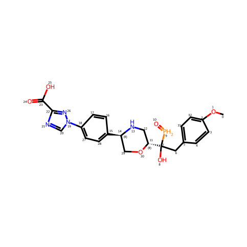 COc1ccc(CC(O)([PH2]=O)[C@H]2CN[C@H](c3ccc(-n4cnc(C(=O)O)n4)cc3)CO2)cc1